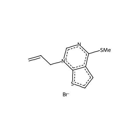 C=CC[n+]1cnc(SC)c2ccsc21.[Br-]